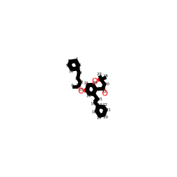 CC(CCCc1ccccc1)Oc1cc(C=Cc2ccccc2)c2c(c1)OC(C)(C)CC2=O